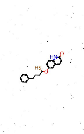 O=c1ccc2cc(OC(S)CCCc3ccccc3)ccc2[nH]1